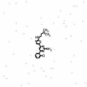 CN(C)CCNc1ncc(-c2cc(-c3ccccc3Cl)nc(N)n2)s1